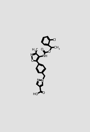 Cc1noc(-c2ccc(Cn3cc(C(=O)O)cn3)cc2)c1NC(=O)OC(C)c1ccccc1Cl